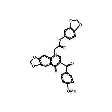 COc1ccc(C(=O)c2cn(CC(=O)Nc3ccc4c(c3)OCO4)c3cc4c(cc3c2=O)OCO4)cc1